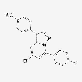 Cc1ccc(-c2cnn3c(-c4ccc(F)cc4)cc(Cl)cc23)cc1